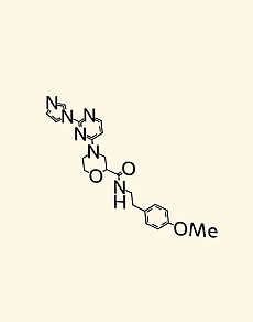 COc1ccc(CCNC(=O)C2CN(c3ccnc(-n4ccnc4)n3)CCO2)cc1